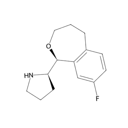 Fc1ccc2c(c1)[C@@H]([C@H]1CCCN1)OCCC2